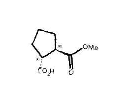 COC(=O)[C@@H]1CCC[C@H]1C(=O)O